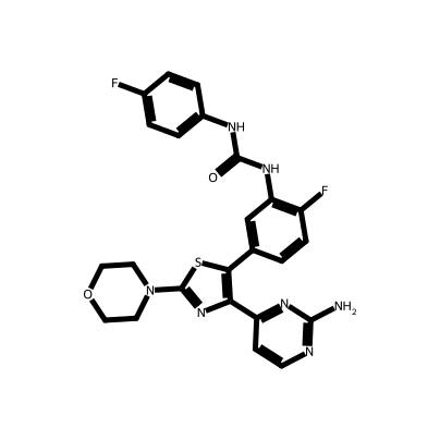 Nc1nccc(-c2nc(N3CCOCC3)sc2-c2ccc(F)c(NC(=O)Nc3ccc(F)cc3)c2)n1